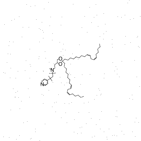 CCCCC/C=C\C/C=C\CCCCCCCCC1(CCCCCCCC/C=C\C/C=C\CCCCC)OCC(CCN(C)C(C)(C)CC(C)(C)c2ccncc2)O1